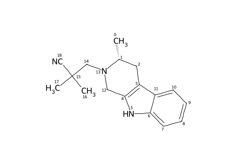 C[C@@H]1Cc2c([nH]c3ccccc23)CN1CC(C)(C)C#N